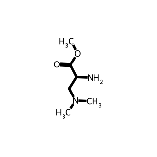 COC(=O)C(N)CN(C)C